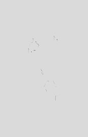 Fc1ccc(C#CCOc2nsnc2C2CN3CCC2C3)cc1